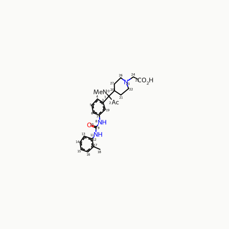 CNC(C(C)=O)(c1cccc(NC(=O)Nc2ccccc2C)c1)C1CCN(CC(=O)O)CC1